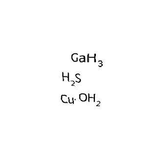 O.S.[Cu].[GaH3]